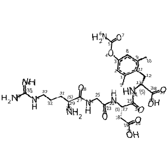 Cc1cc(OC(N)=O)cc(C)c1C[C@H](NC(=O)[C@H](CC(=O)O)NC(=O)CNC(=O)[C@@H](N)CCCNC(=N)N)C(=O)O